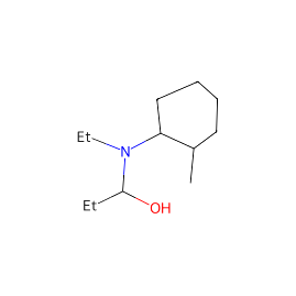 CCC(O)N(CC)C1CCCCC1C